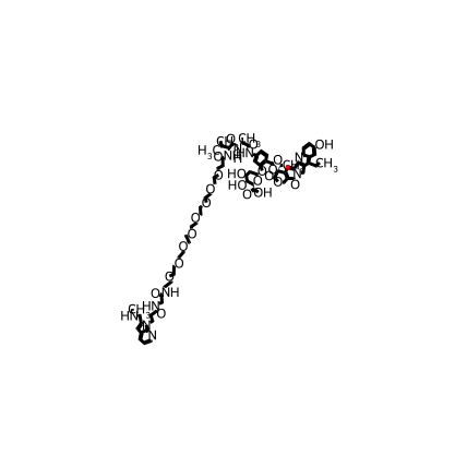 CCc1c2c(nc3ccc(O)cc13)-c1cc3c(c(=O)n1C2)COC(=O)[C@@]3(CC)OC(=O)c1ccc(NC(=O)[C@H](C)NC(=O)[C@@H](NC(=O)CCOCCOCCOCCOCCOCCOCCOCCOCCNC(=O)CNC(=O)CCn2c(CNC)cc3cccnc32)C(C)C)cc1O[C@H]1C[C@@H](O)[C@H](O)[C@@H](C(=O)O)O1